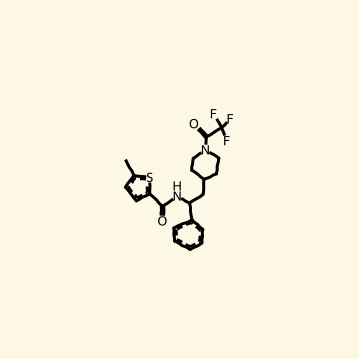 Cc1ccc(C(=O)NC(CC2CCN(C(=O)C(F)(F)F)CC2)c2ccccc2)s1